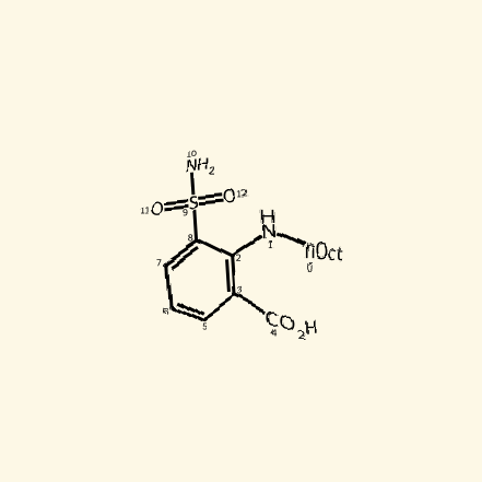 CCCCCCCCNc1c(C(=O)O)cccc1S(N)(=O)=O